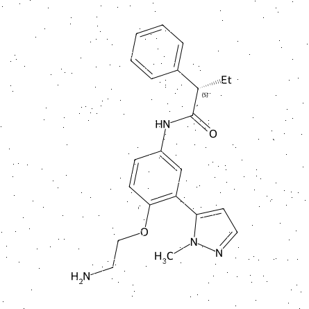 CC[C@H](C(=O)Nc1ccc(OCCN)c(-c2ccnn2C)c1)c1ccccc1